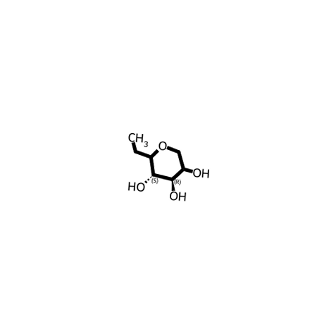 CCC1OCC(O)[C@@H](O)[C@@H]1O